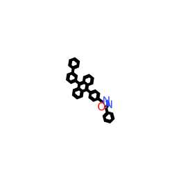 c1ccc(-c2cccc(-c3c4ccccc4c(-c4ccc(-c5nnc(-c6ccccc6)o5)cc4)c4ccccc34)c2)cc1